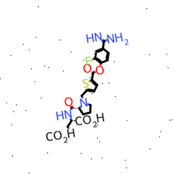 N=C(N)c1ccc(OC(=O)c2ccc(CN3CCC[C@@H]3C(=O)N[C@@H](CC(=O)O)C(=O)O)s2)c(F)c1